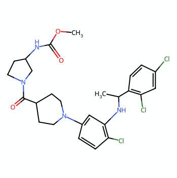 COC(=O)NC1CCN(C(=O)C2CCN(c3ccc(Cl)c(NC(C)c4ccc(Cl)cc4Cl)c3)CC2)C1